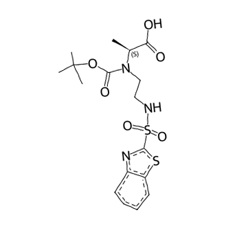 C[C@@H](C(=O)O)N(CCNS(=O)(=O)c1nc2ccccc2s1)C(=O)OC(C)(C)C